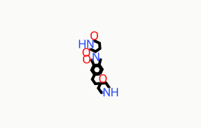 O=C1CC[C@H](N2Cc3cc4c(cc3C2=O)CCC2(CCNCC2)O4)C(=O)N1